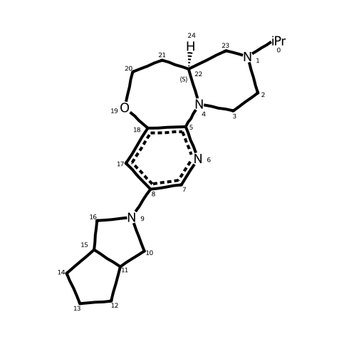 CC(C)N1CCN2c3ncc(N4CC5CCCC5C4)cc3OCC[C@H]2C1